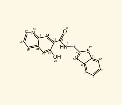 O=C(NCc1nc2ccccc2s1)c1cc2ncccc2cc1O